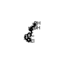 C[C@H]1C[C@@]2(CCN1Cc1cnn(C[C@H](O)C(C)(C)O)c1)OCCc1ccc(Cl)cc12